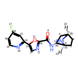 O=C(N[C@@H]1C[C@H]2CC[C@@H]1N2)c1ncc(-c2cc(F)ccn2)o1